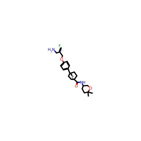 CC1(C)CCC(NC(=O)C23CCC(c4ccc(OC/C(=C/F)CN)cc4)(CC2)CC3)CO1